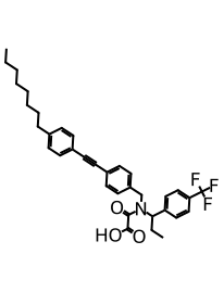 CCCCCCCCc1ccc(C#Cc2ccc(CN(C(=O)C(=O)O)C(CC)c3ccc(C(F)(F)F)cc3)cc2)cc1